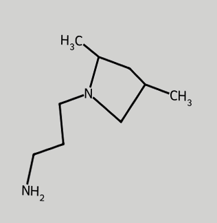 CC1CC(C)N(CCCN)C1